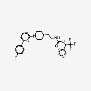 O=C(NCCC1CCN(c2cccc(-c3ccc(F)cc3)n2)CC1)OC(c1cncs1)C(F)(F)F